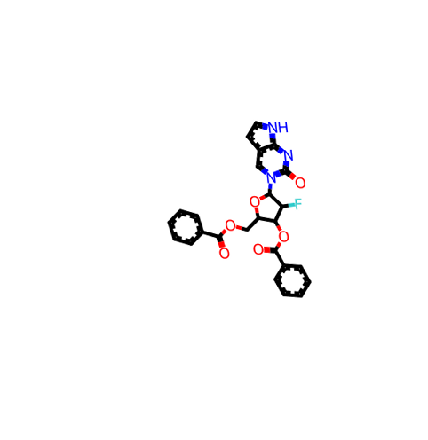 O=C(OCC1OC(n2cc3cc[nH]c3nc2=O)C(F)C1OC(=O)c1ccccc1)c1ccccc1